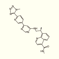 CNC(=O)c1ccnc2c([C@H](C)CNc3cc(-c4ccc(-c5nnnn5C)nc4)ncn3)cccc12